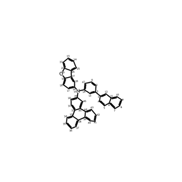 c1cc(-c2ccc3ccccc3c2)cc(N(c2ccc3oc4ccccc4c3c2)c2ccc3c4ccccc4c4ccccc4c3c2)c1